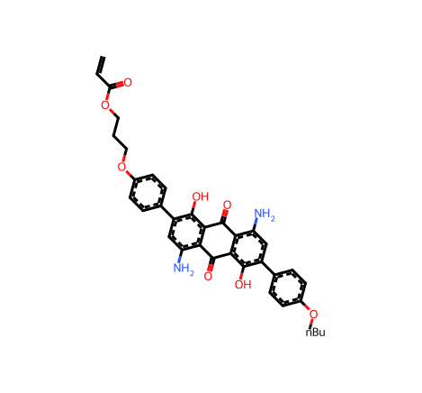 C=CC(=O)OCCCOc1ccc(-c2cc(N)c3c(c2O)C(=O)c2c(N)cc(-c4ccc(OCCCC)cc4)c(O)c2C3=O)cc1